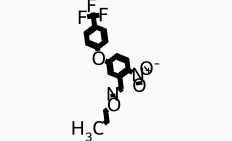 CCCON=Cc1cc(Oc2ccc(C(F)(F)F)cc2)ccc1[N+](=O)[O-]